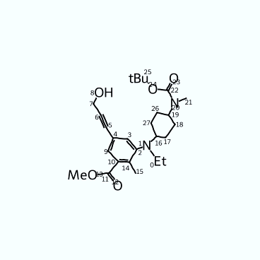 CCN(c1cc(C#CCO)cc(C(=O)OC)c1C)C1CCC(N(C)C(=O)OC(C)(C)C)CC1